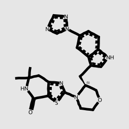 CC1(C)Cc2nc(N3CCOC[C@@H]3Cc3c[nH]c4ccc(-n5cncn5)cc34)sc2C(=O)N1